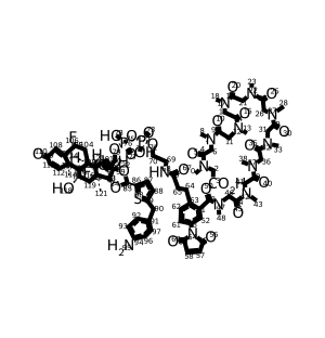 CN(CC(=O)O)C(=O)CN(C)C(=O)CN(C)C(=O)CN(C)C(=O)CN(C)C(=O)CN(C)C(=O)CN(C)C(=O)CN(C)C(=O)CN(C)C(=O)CN(C)C(=O)c1cc(N2C(=O)C=CC2=O)ccc1CCC(=O)NCCOP(=O)(O)OP(=O)(O)OCC(=O)[C@@]12O[C@H](c3ccc(Cc4ccc(N)cc4)s3)O[C@@H]1C[C@H]1[C@@H]3C[C@H](F)C4=CC(=O)C=C[C@]4(C)[C@@]3(F)[C@@H](O)C[C@@]12C